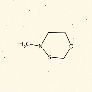 [CH2]N1CCOCS1